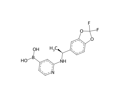 C[C@H](Nc1cc(B(O)O)ccn1)c1ccc2c(c1)OC(F)(F)O2